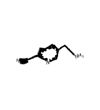 N#Cc1ccc([CH]N)cn1